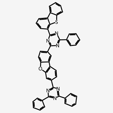 c1ccc(-c2nc(-c3ccccc3)nc(-c3ccc4c(c3)oc3ccc(-c5nc(-c6ccccc6)nc(-c6cccc7c6sc6ccccc67)n5)cc34)n2)cc1